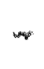 Cc1cccc(-n2nnnc2SCC(=O)Nc2ccnn2-c2cccc(-c3cccc(F)c3)c2)c1C